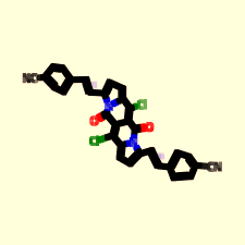 N#Cc1ccc(/C=C/c2ccc3c(Cl)c4c(=O)n5c(/C=C/c6ccc(C#N)cc6)ccc5c(Cl)c4c(=O)n23)cc1